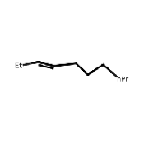 CCC=CCC[CH]CCC